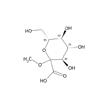 COC1(C(=O)O)O[C@H](CO)[C@@H](O)[C@H](O)[C@H]1O